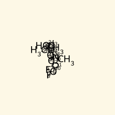 C[C@@H](c1ccc(OC(F)F)cc1)N1CCC(CC(C)(C)O)(c2ccccc2)OC1=O